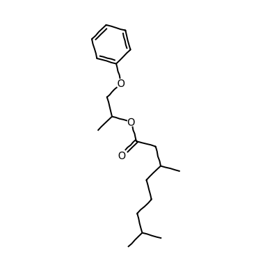 CC(C)CCCC(C)CC(=O)OC(C)COc1ccccc1